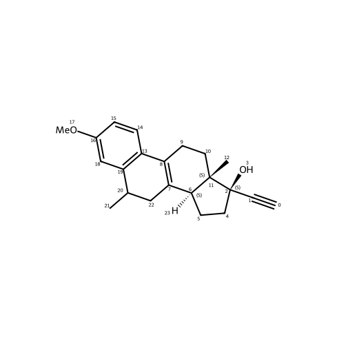 C#C[C@]1(O)CC[C@H]2C3=C(CC[C@@]21C)c1ccc(OC)cc1C(C)C3